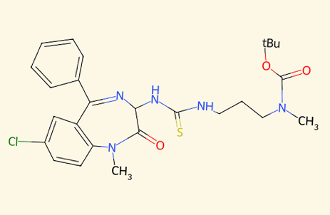 CN(CCCNC(=S)NC1N=C(c2ccccc2)c2cc(Cl)ccc2N(C)C1=O)C(=O)OC(C)(C)C